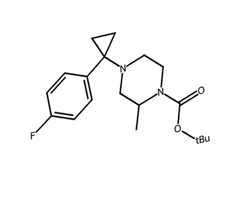 CC1CN(C2(c3ccc(F)cc3)CC2)CCN1C(=O)OC(C)(C)C